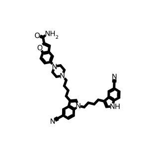 N#Cc1ccc2[nH]cc(CCCCn3cc(CCCCN4CCN(c5ccc6oc(C(N)=O)cc6c5)CC4)c4cc(C#N)ccc43)c2c1